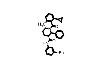 Cc1cccc(C2CC2)c1C(=O)N1CCC[C@H](C(=O)Nc2cccc(C(C)(C)C)c2)C1c1ccccc1